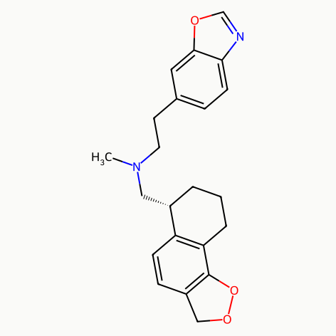 CN(CCc1ccc2ncoc2c1)C[C@@H]1CCCc2c1ccc1c2OOC1